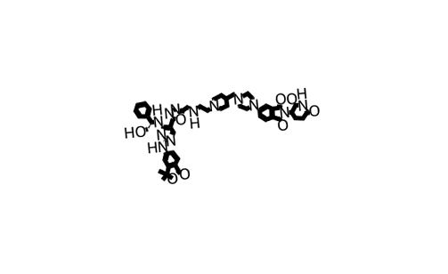 CC1(C)OC(=O)c2ccc(Nc3ncc(-c4nnc(CNCCN5CCC(CN6CCN(c7ccc8c(c7)C(=O)N(C7CCC(=O)NC7=O)C8=O)CC6)CC5)o4)c(N[C@H](CO)c4ccccc4)n3)cc21